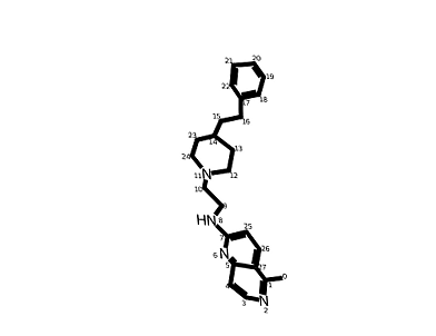 Cc1nccc2nc(NCCN3CCC(CCc4ccccc4)CC3)ccc12